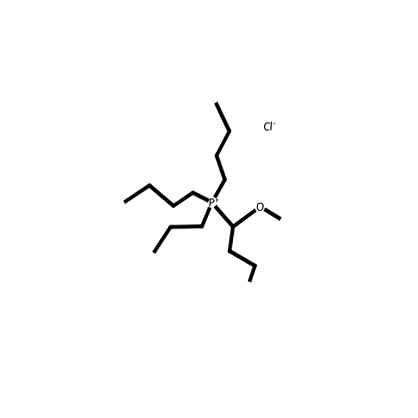 CCCC[P+](CCC)(CCCC)C(CCC)OC.[Cl-]